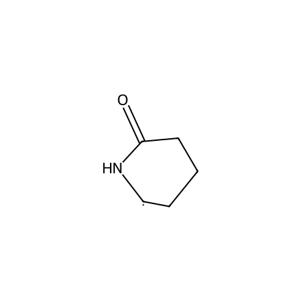 O=C1CCC[CH]N1